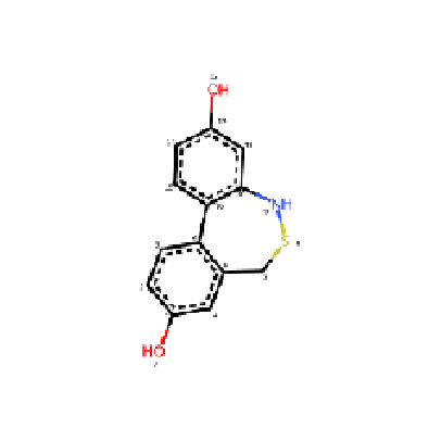 Oc1ccc2c(c1)CSNc1cc(O)ccc1-2